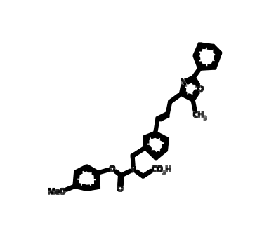 COc1ccc(OC(=O)N(CC(=O)O)Cc2cccc(/C=C/Cc3nc(-c4ccccc4)oc3C)c2)cc1